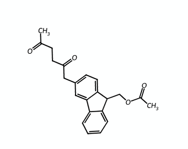 CC(=O)CCC(=O)Cc1ccc2c(c1)-c1ccccc1C2COC(C)=O